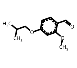 COc1cc(OCC(C)C)ccc1C=O